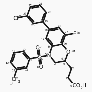 O=C(O)CC[C@H]1CN(S(=O)(=O)c2cccc(C(F)(F)F)c2)c2cc(-c3cccc(Cl)c3)cc(F)c2O1